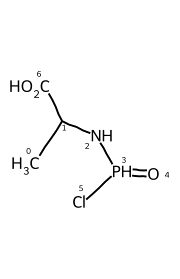 CC(N[PH](=O)Cl)C(=O)O